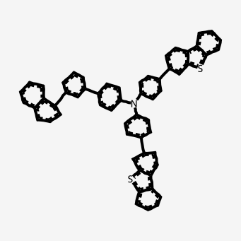 c1cc(-c2ccc(N(c3ccc(-c4ccc5c(c4)sc4ccccc45)cc3)c3ccc(-c4ccc5c(c4)sc4ccccc45)cc3)cc2)cc(-c2cccc3ccccc23)c1